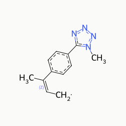 [CH2]/C=C(/C)c1ccc(-c2nnnn2C)cc1